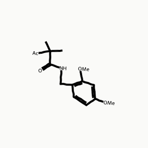 COc1ccc(CNC(=O)C(C)(C)C(C)=O)c(OC)c1